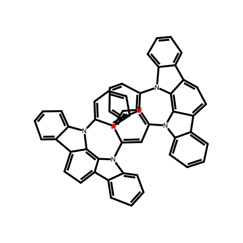 c1ccc(-n2c3ccccc3c3ccc4c5ccccc5n(-c5cc(-n6c7ccccc7c7ccc8c9ccccc9n(-c9ccccc9)c8c76)ncn5)c4c32)cc1